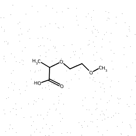 COCCOC(C)C(=O)O